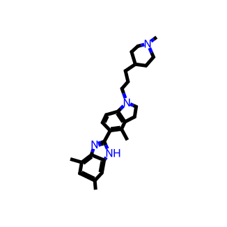 Cc1cc(C)c2nc(-c3ccc4c(c3C)CCN4CCCC3CCN(C)CC3)[nH]c2c1